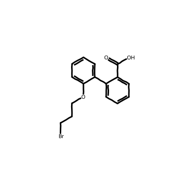 O=C(O)c1ccccc1-c1ccccc1OCCCBr